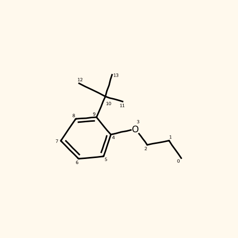 CCCOc1ccccc1C(C)(C)C